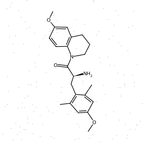 COc1cc(C)c(C[C@H](N)C(=O)N2CCCc3cc(OC)ccc32)c(C)c1